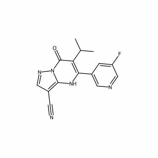 CC(C)c1c(-c2cncc(F)c2)[nH]c2c(C#N)cnn2c1=O